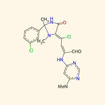 CNc1cc(N/C(C=O)=C/C(Cl)=C2/C(=O)NC(C)(c3cccc(Cl)c3)N2C)ncn1